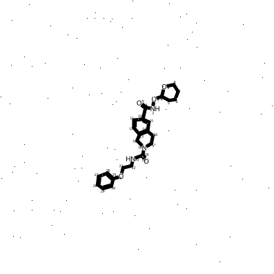 O=C(NOC1CCCCO1)c1ccc2c(c1)CCN(C(=O)NCCOc1ccccc1)C2